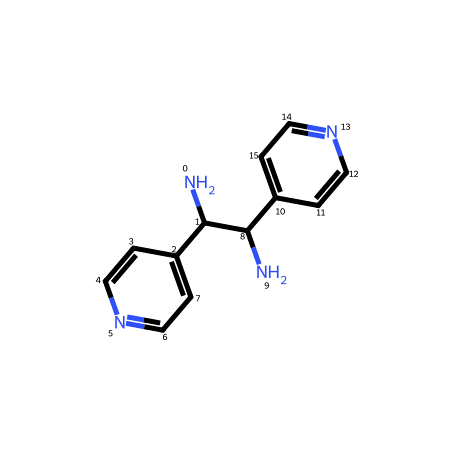 NC(c1ccncc1)C(N)c1ccncc1